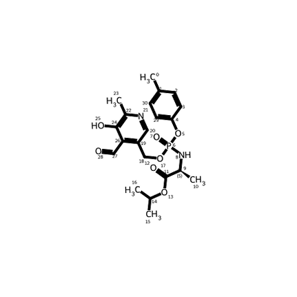 Cc1ccc(OP(=O)(N[C@@H](C)C(=O)OC(C)C)OCc2cnc(C)c(O)c2C=O)cc1